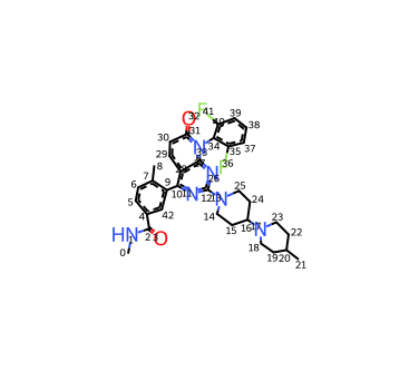 CNC(=O)c1ccc(C)c(-c2nc(N3CCC(N4CCC(C)CC4)CC3)nc3c2ccc(=O)n3-c2c(F)cccc2F)c1